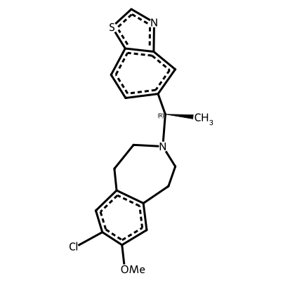 COc1cc2c(cc1Cl)CCN([C@H](C)c1ccc3scnc3c1)CC2